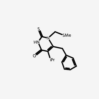 CSCn1c(Cc2ccccc2)c(C(C)C)c(=O)[nH]c1=S